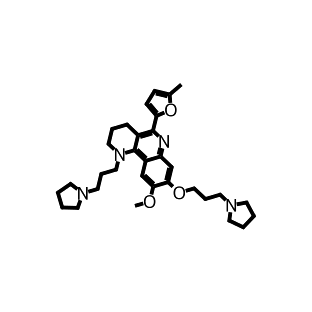 COc1cc2c3c(c(-c4ccc(C)o4)nc2cc1OCCCN1CCCC1)CCCN3CCCN1CCCC1